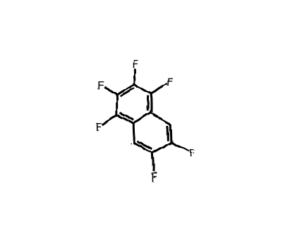 Fc1[c]c2c(F)c(F)c(F)c(F)c2cc1F